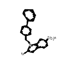 CCc1cc2ccc(C(=O)O)cc2n1Cc1ccc(-c2ccccc2)cc1